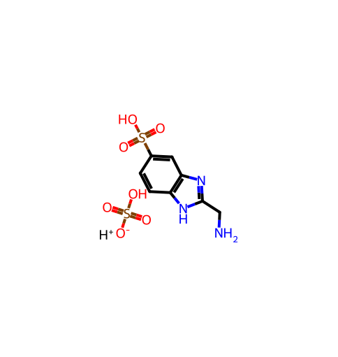 NCc1nc2cc(S(=O)(=O)O)ccc2[nH]1.O=S(=O)([O-])O.[H+]